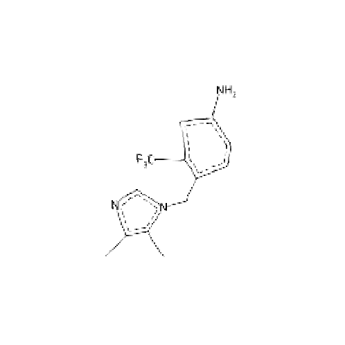 Cc1ncn(Cc2ccc(N)cc2C(F)(F)F)c1C